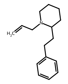 C=CCN1CCCCC1CCc1ccccc1